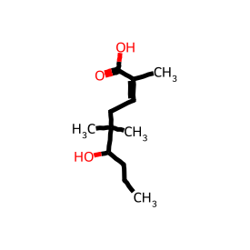 CCCC(O)C(C)(C)CC=C(C)C(=O)O